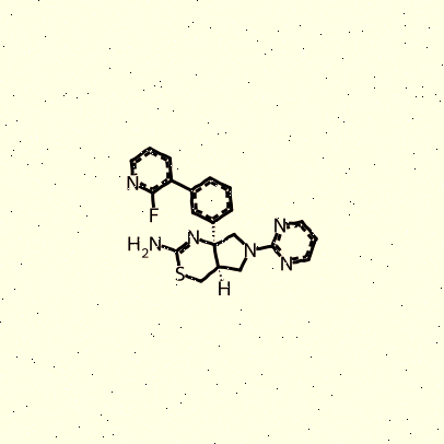 NC1=N[C@@]2(c3cccc(-c4cccnc4F)c3)CN(c3ncccn3)C[C@H]2CS1